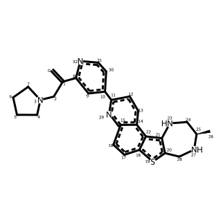 C=C(CN1CCCC1)c1cc(-c2ccc3c(ccc4sc5c(c43)NC[C@@H](C)NC5)n2)ccn1